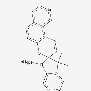 CCCCCCCN1c2ccccc2C(C)(C)C12C=Nc1c(ccc3ccncc13)O2